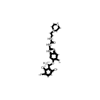 CC(Oc1cc2[nH]c(NC(=O)NCCN3CCOCC3)nc2cc1F)c1c(Cl)ccc(F)c1Cl